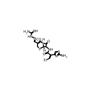 CC/C=C(\C(=O)NC1C(=O)N2C(C(=O)O)=C(C=NNC(=N)N)CS[C@@H]12)c1csc(N)n1